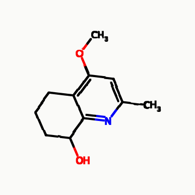 COc1cc(C)nc2c1CCCC2O